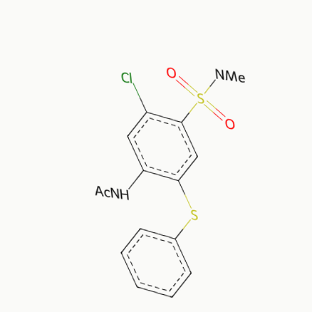 CNS(=O)(=O)c1cc(Sc2ccccc2)c(NC(C)=O)cc1Cl